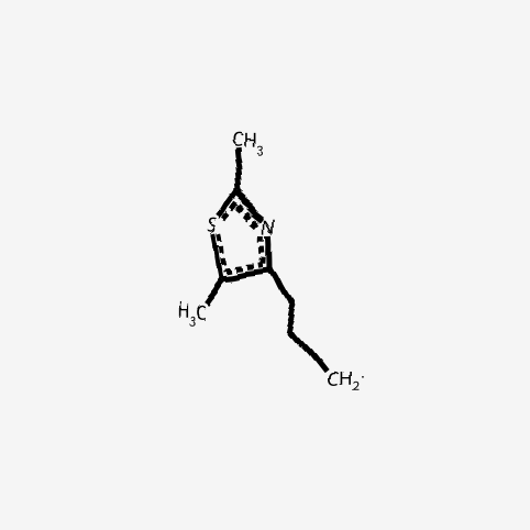 [CH2]CCc1nc(C)sc1C